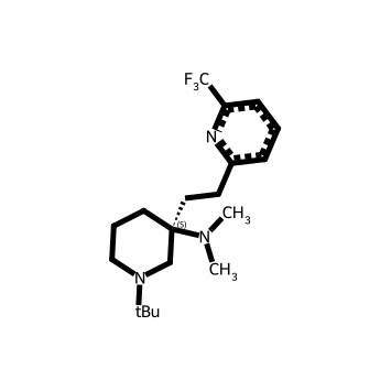 CN(C)[C@]1(CCc2cccc(C(F)(F)F)n2)CCCN(C(C)(C)C)C1